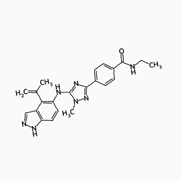 C=C(C)c1c(Nc2nc(-c3ccc(C(=O)NCC)cc3)nn2C)ccc2[nH]ncc12